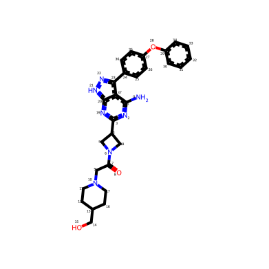 Nc1nc(C2CN(C(=O)CN3CCC(CO)CC3)C2)nc2[nH]nc(-c3ccc(Oc4ccccc4)cc3)c12